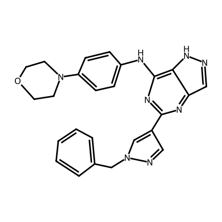 c1ccc(Cn2cc(-c3nc(Nc4ccc(N5CCOCC5)cc4)c4[nH]ncc4n3)cn2)cc1